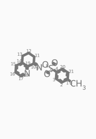 Cc1ccc(S(=O)(=O)ON=C2CCCc3cccnc32)cc1